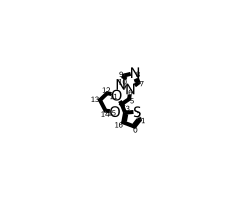 c1csc(C2(Cn3cncn3)OCCCO2)c1